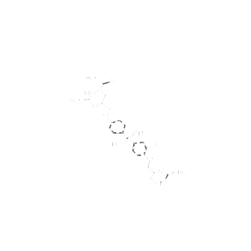 CC(=O)OCC(COc1ccc(C(C)(C)c2ccc(OCC(CCl)OC(C)=O)c(I)c2)cc1)OC(C)O